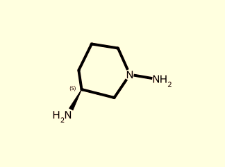 N[C@H]1CCCN(N)C1